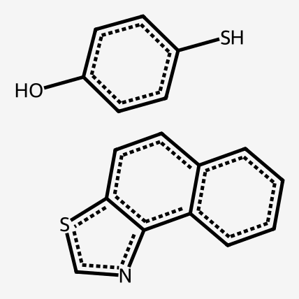 Oc1ccc(S)cc1.c1ccc2c(c1)ccc1scnc12